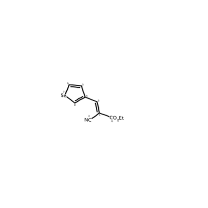 CCOC(=O)C(C#N)=Cc1cc[se]c1